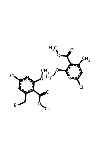 COC(=O)c1c(C)cc(Cl)nc1OC.COC(=O)c1c(CBr)cc(Cl)nc1OC